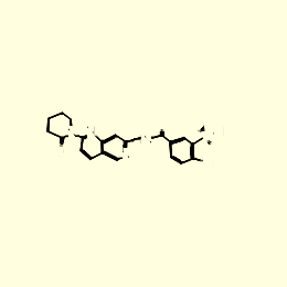 Cc1ccc(C(=O)NCc2cc3nc(N4CCCCC4=O)ccc3cn2)cc1S(C)(=O)=O